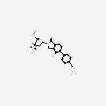 COCc1ccc(-c2ccc3c(c2F)CN(CCC(C)(C(=O)NO)S(C)(=O)=O)C3=O)cc1